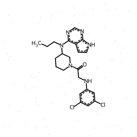 CCCN(c1ncnc2[nH]ccc12)C1CCCN(C(=O)CNc2cc(Cl)cc(Cl)c2)C1